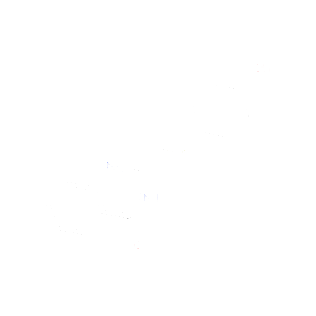 O=c1[nH]c(CSC2CCC(O)CC2)nc2ccccc12